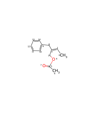 CC=C(COC(C)=O)Cc1ccccc1